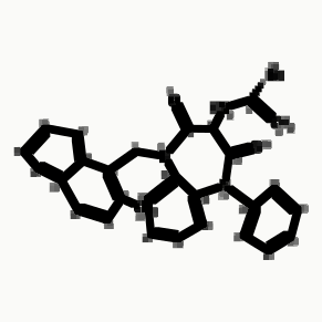 C=C(NC1C(=O)N(Cc2c(C)ccc3ccccc23)c2ccccc2N(c2ccccc2)C1=O)[C@@H](C)CC